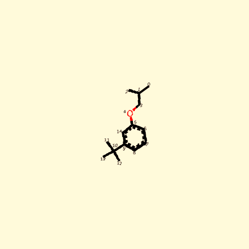 CC(C)COc1c[c]cc(C(C)(C)C)c1